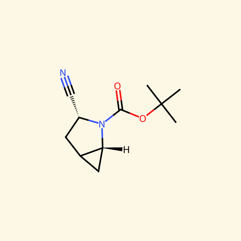 CC(C)(C)OC(=O)N1[C@@H]2CC2C[C@@H]1C#N